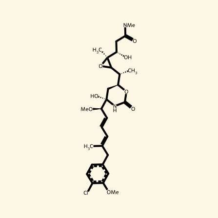 CNC(=O)C[C@H](O)[C@]1(C)OC1[C@H](C)[C@@H]1C[C@](O)([C@@H](/C=C/C=C(\C)Cc2ccc(Cl)c(OC)c2)OC)NC(=O)O1